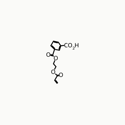 C=CC(=O)OCCOC(=O)c1cccc(C(=O)O)c1